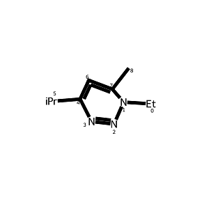 CCN1N=NC(C(C)C)=C=C1C